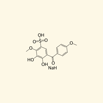 COc1ccc(C(=O)c2cc(S(=O)(=O)O)c(OC)c(O)c2O)cc1.[NaH]